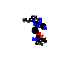 CCN(CC)c1cc(Nc2ccncc2)nc(-c2cccc(OCC(=O)NC(C)C)c2)n1